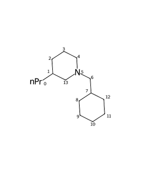 CCCC1CCCN(CC2CCCCC2)C1